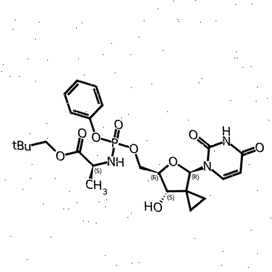 C[C@H](NP(=O)(OC[C@H]1O[C@@H](n2ccc(=O)[nH]c2=O)C2(CC2)[C@@H]1O)Oc1ccccc1)C(=O)OCC(C)(C)C